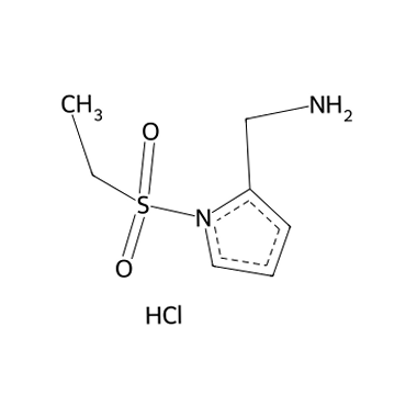 CCS(=O)(=O)n1cccc1CN.Cl